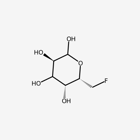 OC1O[C@H](CF)[C@H](O)C(O)[C@H]1O